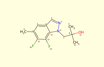 Cc1cc2cnn(CC(C)(C)O)c2c(F)c1F